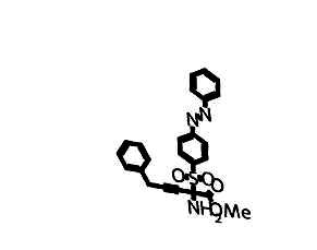 COC(=O)C(N)(C#CCc1ccccc1)S(=O)(=O)c1ccc(N=Nc2ccccc2)cc1